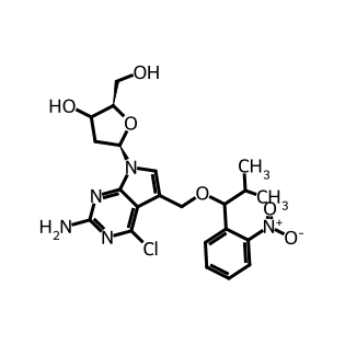 CC(C)C(OCc1cn([C@H]2CC(O)[C@@H](CO)O2)c2nc(N)nc(Cl)c12)c1ccccc1[N+](=O)[O-]